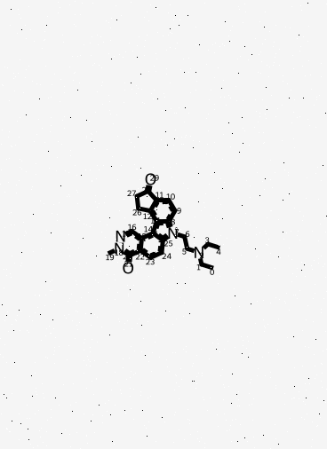 CCN(CC)CCn1c2ccc3c(c2c2c4cnn(C)c(=O)c4ccc21)CCC3=O